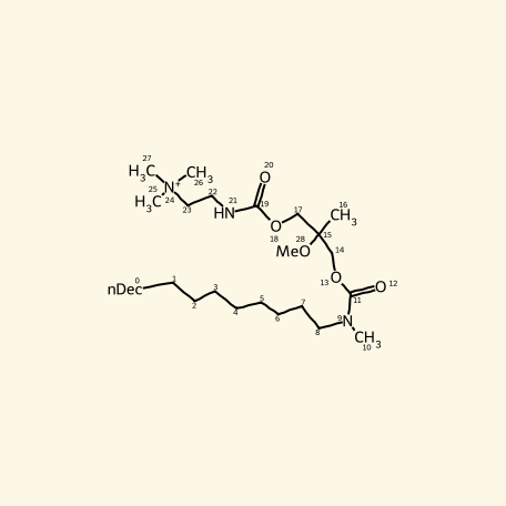 CCCCCCCCCCCCCCCCCCN(C)C(=O)OCC(C)(COC(=O)NCC[N+](C)(C)C)OC